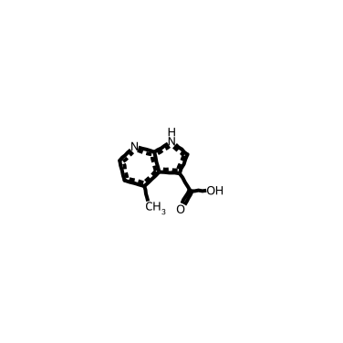 Cc1ccnc2[nH]cc(C(=O)O)c12